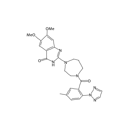 COc1cc2nc(N3CCCN(C(=O)c4cc(C)ccc4-n4nccn4)CC3)[nH]c(=O)c2cc1OC